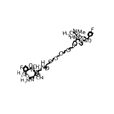 CN[C@@H](C)C(=O)N[C@H](C(=O)N1CCC[C@H]1C1=NC(C(=O)c2ccc(F)cc2)CS1)C1CCN(CCOCCOCCOCCOCCC(=O)NCCn2nc(C#N)c3c2CN(C)C(=O)c2ccc(F)cc2[C@@H](C)Oc2cc-3cnc2N)CC1